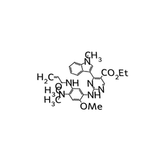 C=CC(=O)Nc1cc(Nc2ncc(C(=O)OCC)c(-c3cn(C)c4ccccc34)n2)c(OC)cc1N(C)C